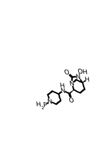 O=C(NC1CCN(P)CC1)[C@@H]1CC[C@@H]2CN1C(=O)N2O